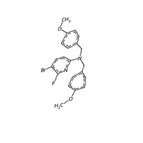 COc1ccc(CN(Cc2ccc(OC)cc2)c2ccc(Br)c(F)n2)cc1